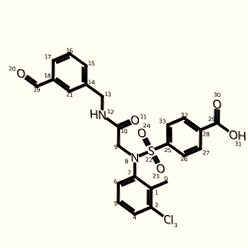 Cc1c(Cl)cccc1N(CC(=O)NCc1cccc(C=O)c1)S(=O)(=O)c1ccc(C(=O)O)cc1